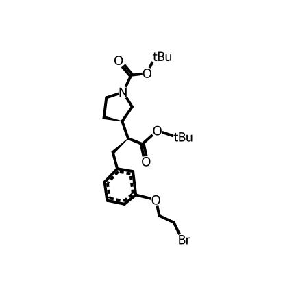 CC(C)(C)OC(=O)[C@@H](Cc1cccc(OCCBr)c1)[C@H]1CCN(C(=O)OC(C)(C)C)C1